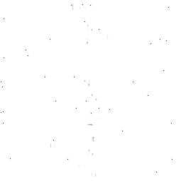 CCCCCCCCCCC(O)CN(CCCSSCCN1CCN(CCOC(=O)CCCN(CC(O)CCCCCCCC)CC(O)CCCCCCCC)CC1)CC(O)CCCCCCCCCC